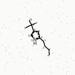 CCCCc1cc(C(C)(C)C)c[nH]1